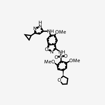 COc1cc2c(NS(=O)(=O)c3c(OC)cc([C@H]4CCCO4)cc3OC)noc2cc1Nc1cc(C2CC2)n[nH]1